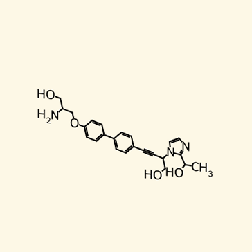 CC(O)c1nccn1C(C#Cc1ccc(-c2ccc(OCC(N)CO)cc2)cc1)CO